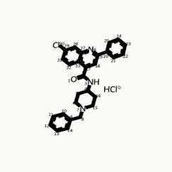 Cl.O=C(NC1CCN(Cc2ccccc2)CC1)c1cc(-c2ccccc2)nc2cc(Cl)ccc12